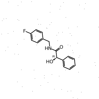 O=C(NCc1ccc(F)cc1)[C@H](O)c1ccccc1